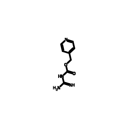 N=C(N)NC(=O)OCc1ccncc1